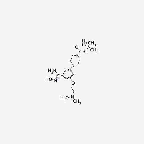 CN(C)CCOc1cc(/C(N)=N/O)cc(N2CCN(C(=O)OC(C)(C)C)CC2)c1